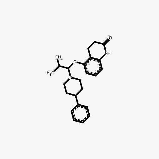 CC(C)C(Oc1cccc2c1CCC(=O)N2)N1CCC(c2ccccc2)CC1